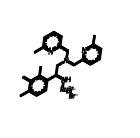 Cc1cccc(CN(Cc2cccc(C)n2)CC([NH][Ru+2])c2ccc(C)c(C)c2C)n1.[Br-].[Br-]